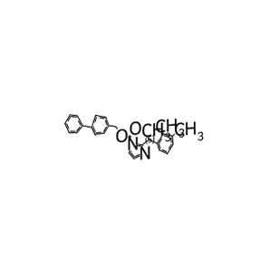 Cc1cccc([C@H](C)c2nccn2C(=O)OCc2ccc(-c3ccccc3)cc2)c1C